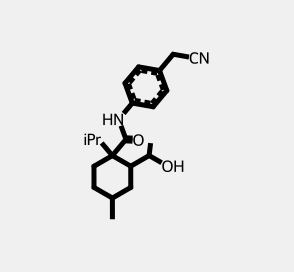 CC1CCC(C(=O)Nc2ccc(CC#N)cc2)(C(C)C)C(C(C)O)C1